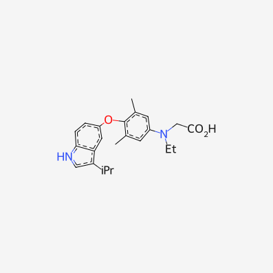 CCN(CC(=O)O)c1cc(C)c(Oc2ccc3[nH]cc(C(C)C)c3c2)c(C)c1